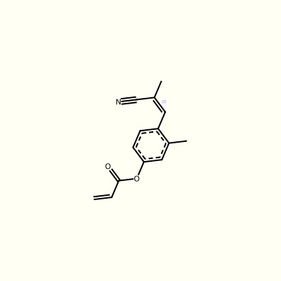 C=CC(=O)Oc1ccc(/C=C(/C)C#N)c(C)c1